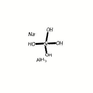 O[Si](O)(O)O.[AlH3].[Na]